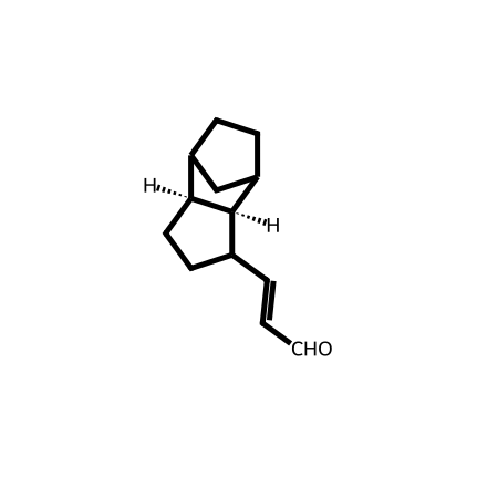 O=C/C=C/C1CC[C@H]2C3CCC(C3)[C@@H]12